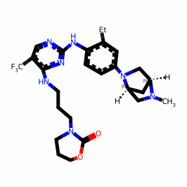 CCc1cc(N2C[C@@H]3C[C@H]2CN3C)ccc1Nc1ncc(C(F)(F)F)c(NCCCN2CCCOC2=O)n1